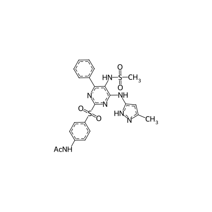 CC(=O)Nc1ccc(S(=O)(=O)c2nc(Nc3cc(C)n[nH]3)c(NS(C)(=O)=O)c(-c3ccccc3)n2)cc1